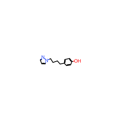 Oc1ccc(CCCCn2cccn2)cc1